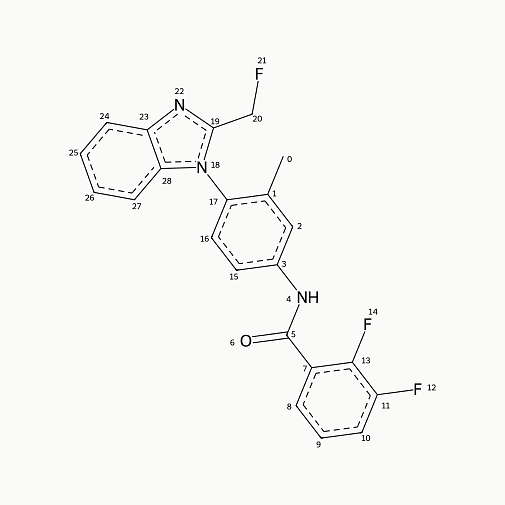 Cc1cc(NC(=O)c2cccc(F)c2F)ccc1-n1c(CF)nc2ccccc21